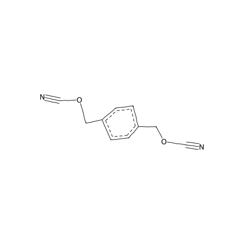 N#COCc1ccc(COC#N)cc1